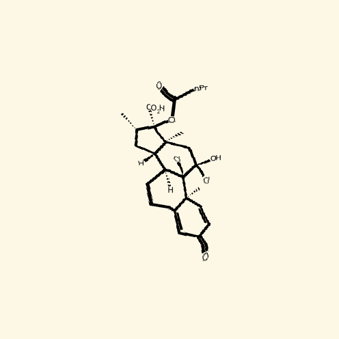 CCCC(=O)O[C@]1(C(=O)O)[C@@H](C)C[C@H]2[C@@H]3CCC4=CC(=O)C=C[C@]4(C)[C@@]3(Cl)[C@@](O)(Cl)C[C@@]21C